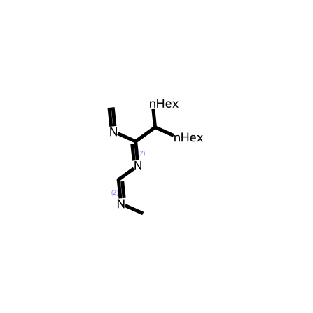 C=N/C(=N\C=N/C)C(CCCCCC)CCCCCC